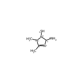 CC1=NC(N)N(S)N1C